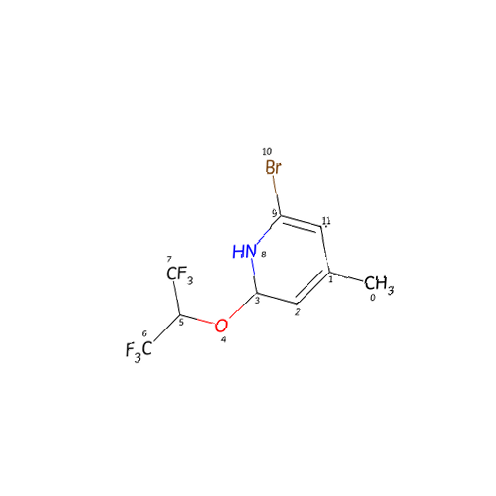 CC1=CC(OC(C(F)(F)F)C(F)(F)F)NC(Br)=[C]1